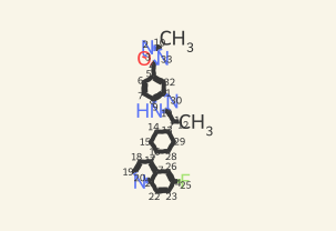 Cc1noc(-c2ccc3[nH]c(C(C)[C@H]4CC[C@@H](c5ccnc6ccc(F)cc65)CC4)nc3c2)n1